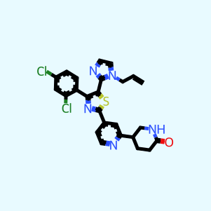 C=CCn1ccnc1-c1sc(-c2ccnc(C3CCC(=O)NC3)c2)nc1-c1ccc(Cl)cc1Cl